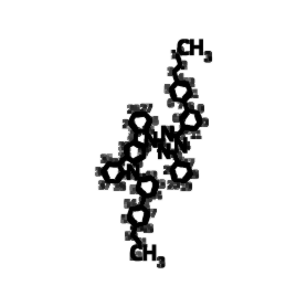 CCCCc1ccc(-c2cccc(-c3nc(-c4ccccc4)nc(-n4c5ccccc5c5cc6c7ccccc7n(-c7cccc(-c8ccc(CCC)cc8)c7)c6cc54)n3)c2)cc1